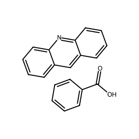 O=C(O)c1ccccc1.c1ccc2nc3ccccc3cc2c1